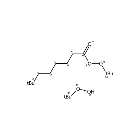 CC(C)(C)CCCCCC(=O)OOC(C)(C)C.CC(C)(C)OO